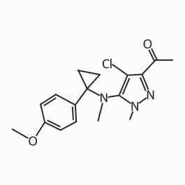 COc1ccc(C2(N(C)c3c(Cl)c(C(C)=O)nn3C)CC2)cc1